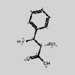 C[C@@H](c1ccccc1)[C@H](N)C(=O)O